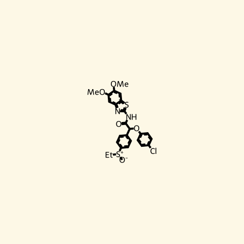 CC[S+]([O-])c1ccc(C(Oc2ccc(Cl)cc2)C(=O)Nc2nc3cc(OC)c(OC)cc3s2)cc1